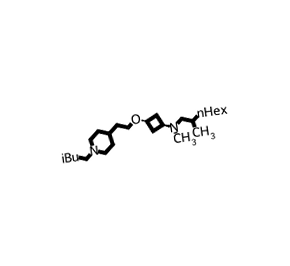 CCCCCCC(C)CN(C)[C@H]1C[C@H](OCCC2CCN(CC(C)CC)CC2)C1